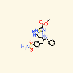 CCOC(=O)c1csc(-n2nc(-c3ccccc3)c(Cc3ccc(S(N)(=O)=O)cc3)c2Cc2nnn[nH]2)n1